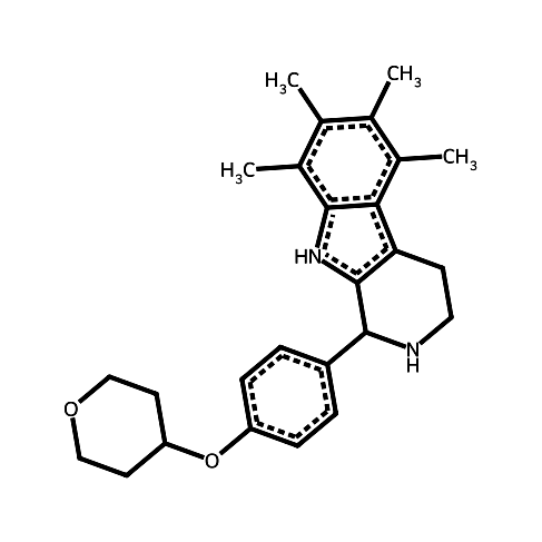 Cc1c(C)c(C)c2c3c([nH]c2c1C)C(c1ccc(OC2CCOCC2)cc1)NCC3